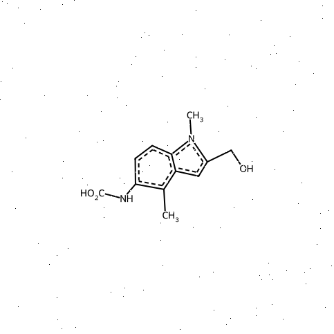 Cc1c(NC(=O)O)ccc2c1cc(CO)n2C